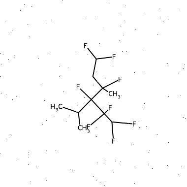 CC(C)C(F)(C(C)(F)CC(F)F)C(F)(F)C(F)F